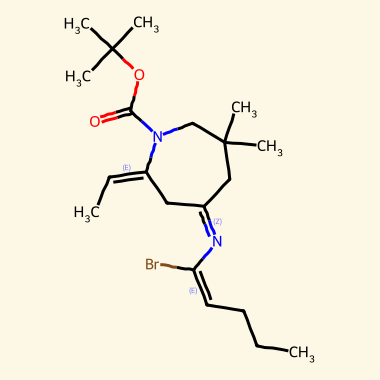 C/C=C1\C/C(=N\C(Br)=C/CCC)CC(C)(C)CN1C(=O)OC(C)(C)C